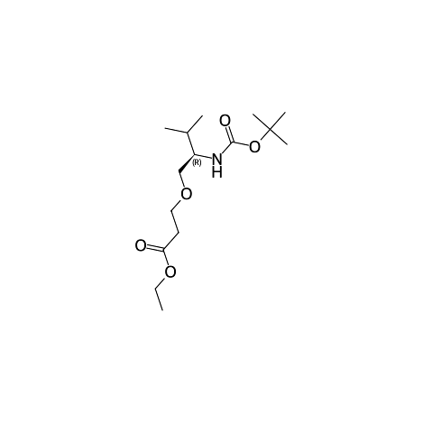 CCOC(=O)CCOC[C@H](NC(=O)OC(C)(C)C)C(C)C